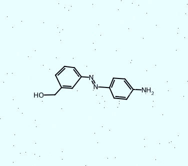 Nc1ccc(N=Nc2cccc(CO)c2)cc1